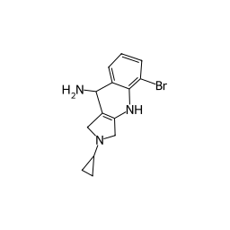 NC1C2=C(CN(C3CC3)C2)Nc2c(Br)cccc21